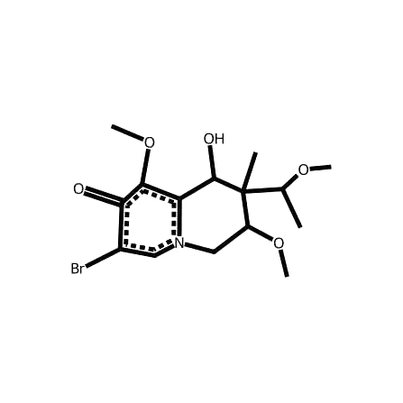 COc1c2n(cc(Br)c1=O)CC(OC)C(C)(C(C)OC)C2O